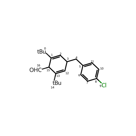 CC(C)(C)C1=CC(Cc2ccc(Cl)cc2)C=C(C(C)(C)C)C1C=O